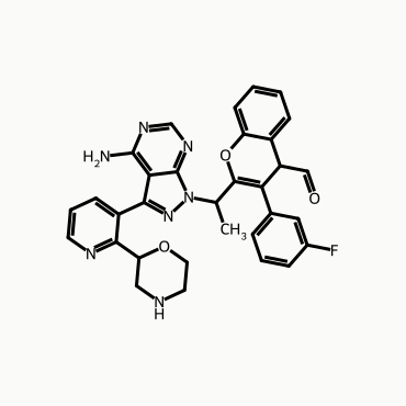 CC(C1=C(c2cccc(F)c2)C(C=O)c2ccccc2O1)n1nc(-c2cccnc2C2CNCCO2)c2c(N)ncnc21